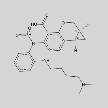 CN(C)CCCCNc1ccccc1N(c1ccc2c(c1C(=O)O)OC[C@H]1C[C@@H]21)[SH](=O)=O